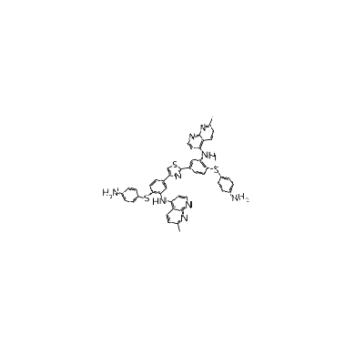 Cc1ccc2c(Nc3cc(-c4csc(-c5ccc(Sc6ccc(N)cc6)c(Nc6ccnc7nc(C)ccc67)c5)n4)ccc3Sc3ccc(N)cc3)ccnc2n1